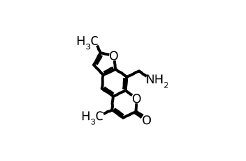 Cc1cc2cc3c(C)cc(=O)oc3c(CN)c2o1